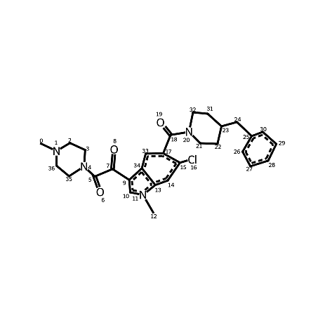 CN1CCN(C(=O)C(=O)c2cn(C)c3cc(Cl)c(C(=O)N4CCC(Cc5ccccc5)CC4)cc23)CC1